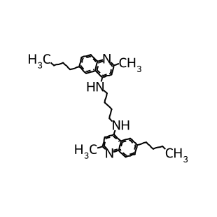 CCCCc1ccc2nc(C)cc(NCCCCNc3cc(C)nc4ccc(CCCC)cc34)c2c1